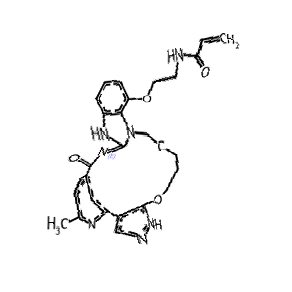 C=CC(=O)NCCOc1cccc2c1N1CCCCCOc3[nH]ncc3-c3cc(cc(C)n3)C(=O)/N=C/1N2